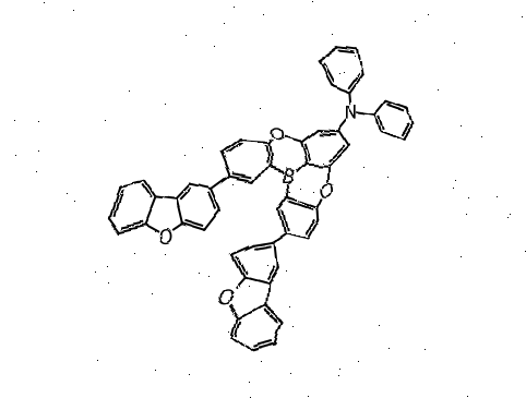 c1ccc(N(c2ccccc2)c2cc3c4c(c2)Oc2ccc(-c5ccc6oc7ccccc7c6c5)cc2B4c2cc(-c4ccc5oc6ccccc6c5c4)ccc2O3)cc1